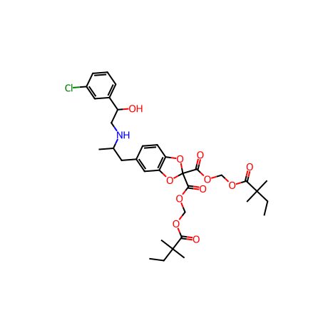 CCC(C)(C)C(=O)OCOC(=O)C1(C(=O)OCOC(=O)C(C)(C)CC)Oc2ccc(CC(C)NCC(O)c3cccc(Cl)c3)cc2O1